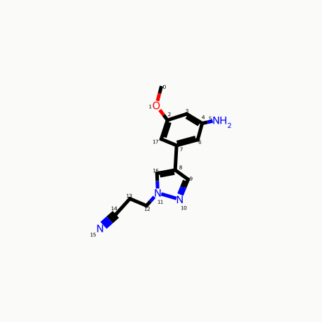 COc1cc(N)cc(-c2cnn(CCC#N)c2)c1